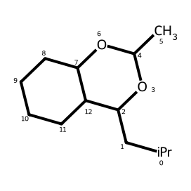 CC(C)CC1OC(C)OC2CCCCC21